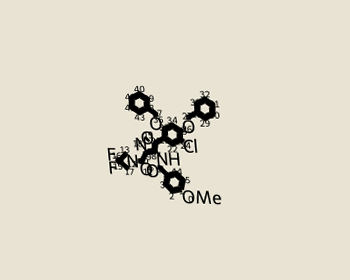 COc1ccc(C(=O)Nc2c(C(=O)N3CC(F)(F)C3)noc2-c2cc(Cl)c(OCc3ccccc3)cc2OCc2ccccc2)cc1